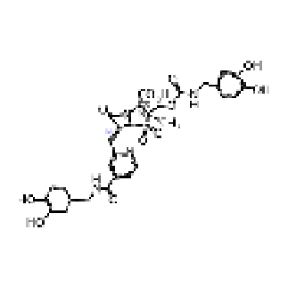 C[C@]1(COC(=O)NCc2ccc(O)c(O)c2)[C@H](C(=O)O)N2C(=O)/C(=C/c3cc(C(=O)NCC4C=CC(O)=C(O)C4)ccn3)C2S1(=O)=O